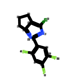 Fc1cc(F)c(-c2nc(Cl)c3c(n2)CCC3)cc1F